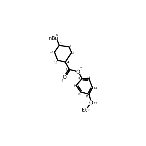 CCCCC1CCC(C(=O)Oc2ccc(OCC)cc2)CC1